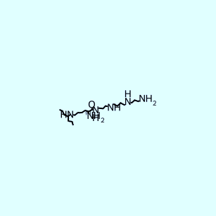 CCCC(CCC)NCCCC[C@@H](N)C(=O)NCCCNCCCCNCCCN